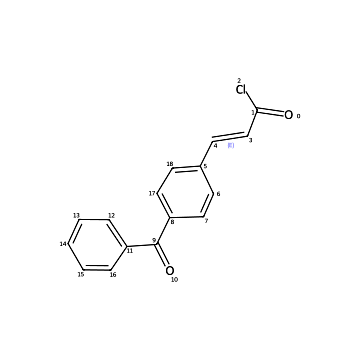 O=C(Cl)/C=C/c1ccc(C(=O)c2ccccc2)cc1